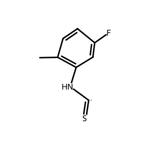 Cc1ccc(F)cc1N[C]=S